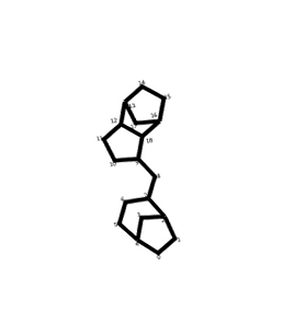 C1CC2CC1CCC2CC1CCC2C3CCC(C3)C12